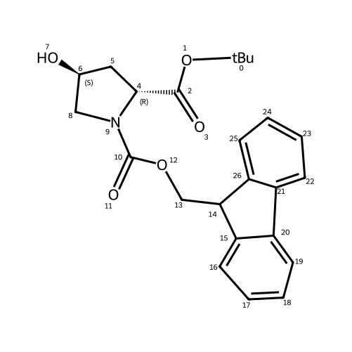 CC(C)(C)OC(=O)[C@H]1C[C@H](O)CN1C(=O)OCC1c2ccccc2-c2ccccc21